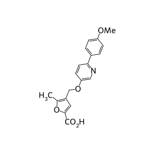 COc1ccc(-c2ccc(OCc3cc(C(=O)O)oc3C)cn2)cc1